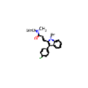 CON(C)C(=O)C=Cc1c(-c2ccc(F)cc2)c2ccccc2n1C(C)C